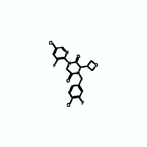 O=C1C(C2COC2)N(Cc2ccc(Cl)c(F)c2)C(=O)CN1c1ncc(Cl)cc1F